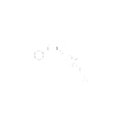 CCCCNC(=O)N1CCN(C(=O)SC(=O)c2ccccc2)CC1.Cl